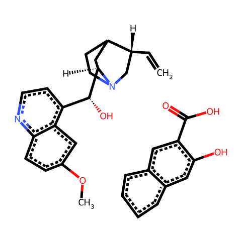 C=C[C@@H]1CN2CCC1C[C@@H]2[C@H](O)c1ccnc2ccc(OC)cc12.O=C(O)c1cc2ccccc2cc1O